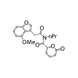 CCCN(C(=O)Cc1coc2cccc(OC)c12)C(=O)c1cccc(=O)o1